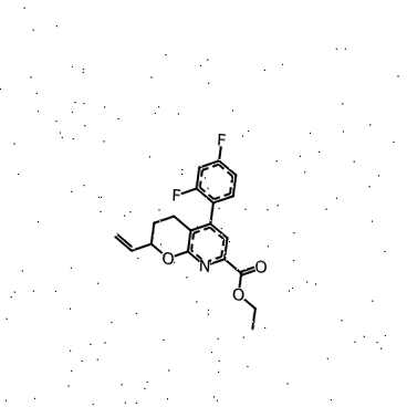 C=CC1CCc2c(-c3ccc(F)cc3F)cc(C(=O)OCC)nc2O1